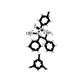 Cc1cc(C)cc(C)c1.Cc1ccc(S(=O)(=O)[N]([Ru][Cl])C(c2ccccc2)C(N)c2ccccc2)cc1